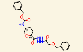 O=C(COCc1ccccc1)NNC(=O)[C@@H]1CC[C@@H](NC(=O)OCc2ccccc2)CO1